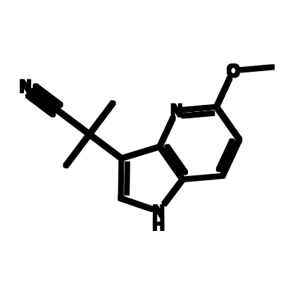 COc1ccc2[nH]cc(C(C)(C)C#N)c2n1